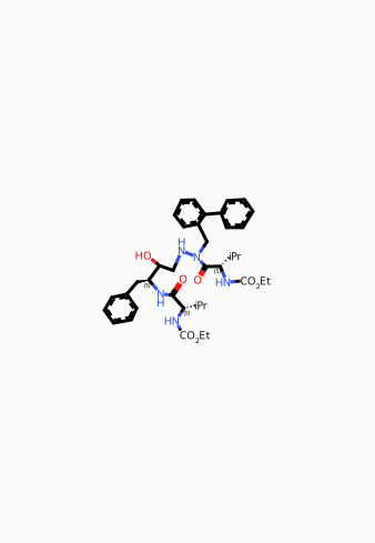 CCOC(=O)N[C@H](C(=O)N[C@@H](Cc1ccccc1)C(O)CNN(Cc1ccccc1-c1ccccc1)C(=O)[C@@H](NC(=O)OCC)C(C)C)C(C)C